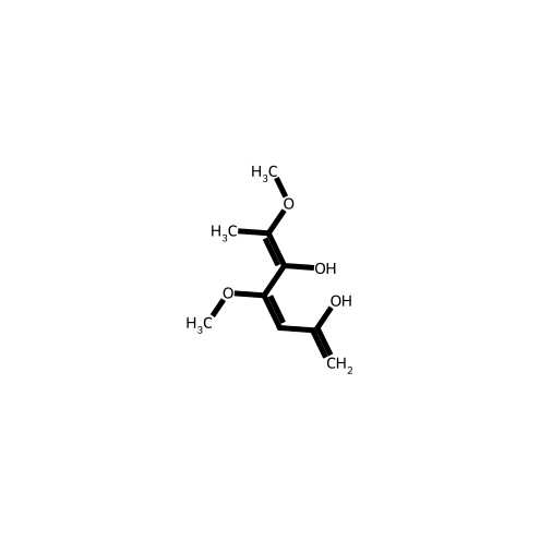 C=C(O)/C=C(OC)\C(O)=C(/C)OC